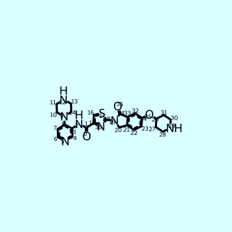 O=C(Nc1cnccc1N1CCNCC1)c1csc(N2Cc3ccc(OC4CCNCC4)cc3C2=O)n1